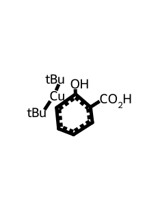 C[C](C)(C)[Cu][C](C)(C)C.O=C(O)c1ccccc1O